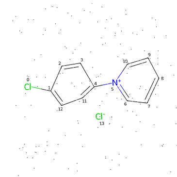 Clc1ccc(-[n+]2ccccc2)cc1.[Cl-]